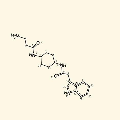 NCCC(=O)NC1CCC(NC(=O)Cc2c[nH]c3ccccc23)CC1